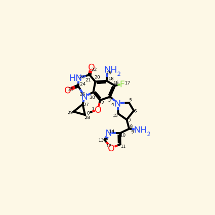 COc1c(N2CCC(C(N)c3cocn3)C2)c(F)c(N)c2c(=O)[nH]c(=O)n(C3CC3)c12